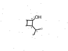 CC(C)C1CCC1O